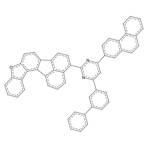 c1ccc(-c2cccc(-c3cc(-c4ccc5c(ccc6ccccc65)c4)nc(-c4ccc5c6c(cccc46)-c4c-5ccc5oc6ccccc6c45)n3)c2)cc1